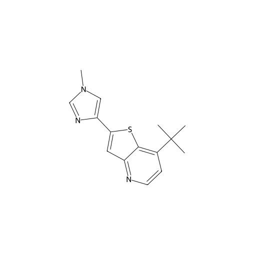 Cn1cnc(-c2cc3nccc(C(C)(C)C)c3s2)c1